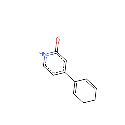 O=c1cc(C2=CCCC=C2)cc[nH]1